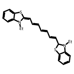 CCN1\C(=C/C=C/C=C/C=C/C2Sc3ccccc3N2CC)Sc2ccccc21